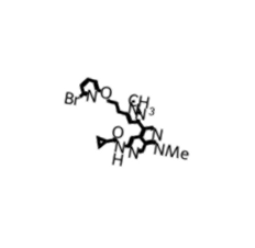 CNc1ncc(-c2cc(CCCOc3cccc(Br)n3)n(C)n2)c2cc(NC(=O)C3CC3)ncc12